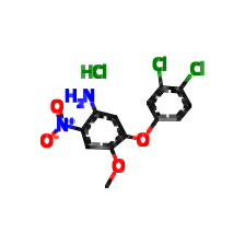 COc1cc([N+](=O)[O-])c(N)cc1Oc1ccc(Cl)c(Cl)c1.Cl